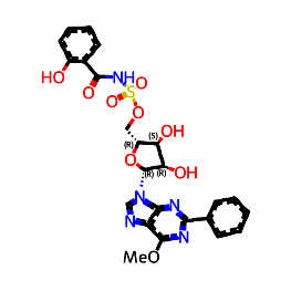 COc1nc(-c2ccccc2)nc2c1ncn2[C@@H]1O[C@H](COS(=O)(=O)NC(=O)c2ccccc2O)[C@@H](O)[C@H]1O